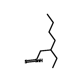 CCCCC(CC)[CH2][SnH]=[S]